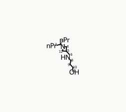 CCCC(CCC)N1CC(CNCCCO)C1